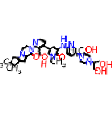 Cn1cc(-c2ccnc(-n3ccn4c5c(cc4c3=O)CC(C)(C)C5)c2CO)cc(Nc2ccc(N3CCN(C(CO)CO)C[C@]3(C)O)cn2)c1=O